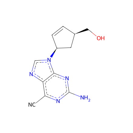 N#Cc1nc(N)nc2c1ncn2[C@H]1C=C[C@@H](CO)C1